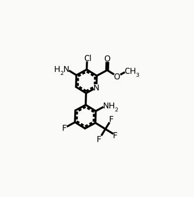 COC(=O)c1nc(-c2cc(F)cc(C(F)(F)F)c2N)cc(N)c1Cl